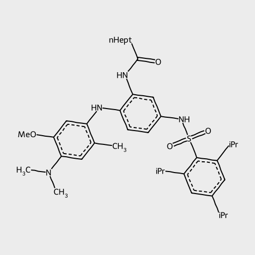 CCCCCCCC(=O)Nc1cc(NS(=O)(=O)c2c(C(C)C)cc(C(C)C)cc2C(C)C)ccc1Nc1cc(OC)c(N(C)C)cc1C